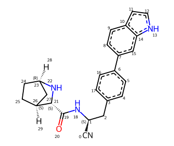 N#C[C@H](Cc1ccc(-c2ccc3cc[nH]c3c2)cc1)NC(=O)[C@H]1N[C@@H]2CC[C@H]1C2